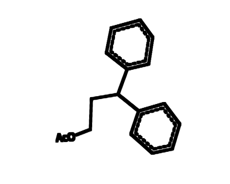 CC(=O)OCCC(c1ccccc1)c1ccccc1